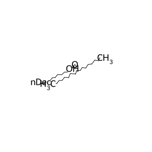 C1CO1.CCCCCCCCCCCCCCCCC.CCCCCCCCCCCCCCCCO